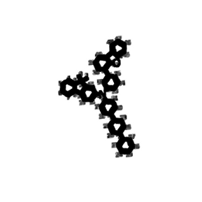 CC1(C)c2ccccc2-c2ccc(N(c3ccc(-c4ccc(-c5ccccc5)cc4)cc3)c3cccc(-c4cccc5c4oc4ccccc45)c3)cc21